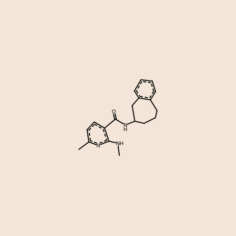 CNc1nc(C)ccc1C(=O)NC1CCCc2ccccc2C1